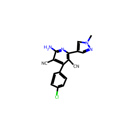 Cn1cc(-c2nc(N)c(C#N)c(-c3ccc(Cl)cc3)c2C#N)cn1